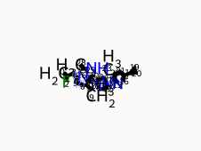 C=C(F)/C=C(\C=C/CC(=C)N1CCN(c2ncc(C3CC3)cc2C)CC1)N1C(=C)NCC1C